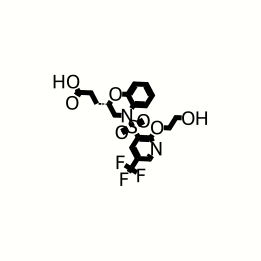 O=C(O)CC[C@H]1CN(S(=O)(=O)c2cc(C(F)(F)F)cnc2OCCO)c2ccccc2O1